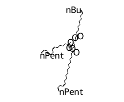 CCCC/C=C\CCCCCCCC(=O)OC[C@H](COC(=O)CCCCCCCCCCC/C=C\C/C=C\CCCCC)OC(=O)CCCC/C=C\C/C=C\C/C=C\CCCCC